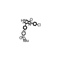 Cc1[nH]cc2c(=O)n(-c3ccc(Cl)cc3)nc-2c1-c1ccc(N2CCN(C(=O)OC(C)(C)C)CC2)cc1